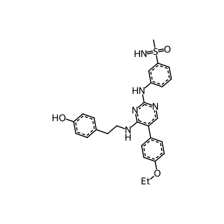 CCOc1ccc(-c2cnc(Nc3cccc(S(C)(=N)=O)c3)nc2NCCc2ccc(O)cc2)cc1